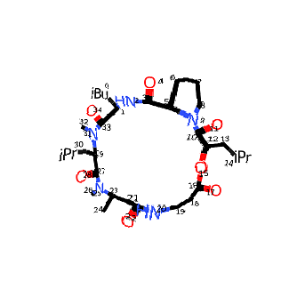 CCC(C)C1NC(=O)C2CCCN2C(=O)C(CC(C)C)OC(=O)CCNC(=O)C(C)N(C)C(=O)C(C(C)C)N(C)C1=O